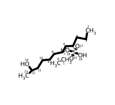 CC.CCCCCCCCCCC(C)O.O=S(=O)(O)O